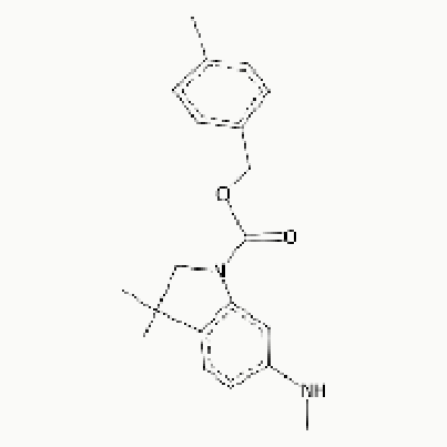 CNc1ccc2c(c1)N(C(=O)OCc1ccc(C)cc1)CC2(C)C